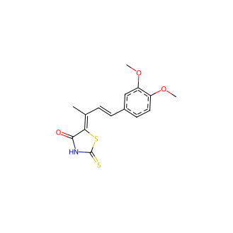 COc1ccc(C=CC(C)=C2SC(=S)NC2=O)cc1OC